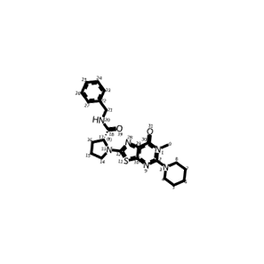 Cn1c(N2CCCCC2)nc2sc(N3CCC[C@@H]3C(=O)NCc3ccccc3)nc2c1=O